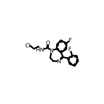 O=C(NCCCl)N1CCN=C(c2ccccc2F)c2cc(F)ccc21